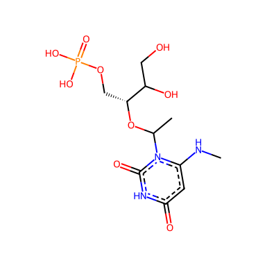 CNc1cc(=O)[nH]c(=O)n1C(C)O[C@H](COP(=O)(O)O)C(O)CO